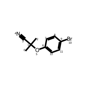 CC(C)(C#N)Oc1ccc(Br)cc1